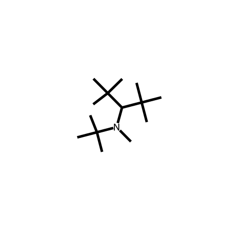 CN(C(C(C)(C)C)C(C)(C)C)C(C)(C)C